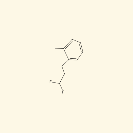 Cc1ccccc1CCC(F)F